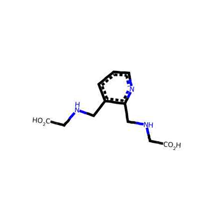 O=C(O)CNCc1cccnc1CNCC(=O)O